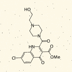 COC(=O)c1c(C(=O)N2CCN(CCO)CC2)[nH]c2cc(Cl)ccc2c1=O